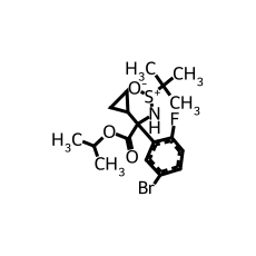 CC(C)OC(=O)C(N[S+]([O-])C(C)(C)C)(c1cc(Br)ccc1F)C1CC1